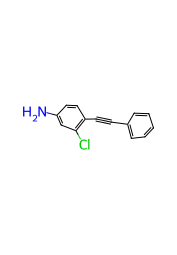 Nc1ccc(C#Cc2ccccc2)c(Cl)c1